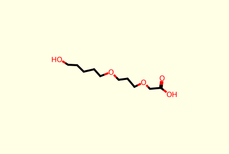 O=C(O)COCCCOCCCCCO